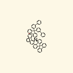 c1ccc(-c2cccc(C3(c4cccc(-c5ccccc5)c4)c4ccccc4-c4cc(N(c5cccc6c5-c5ccccc5C65c6ccccc6-c6ccccc65)c5cccc6oc7ccccc7c56)ccc43)c2)cc1